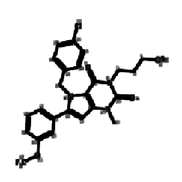 CC(=O)OCCCn1c(=O)c2c(cc(-c3cccc(OC(F)(F)F)c3)n2Cc2ccc(Cl)cc2)n(C)c1=O